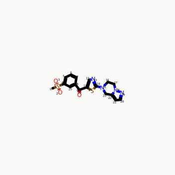 CS(=O)(=O)c1cccc(C(=O)c2cnc(N3CCn4nccc4C3)s2)c1